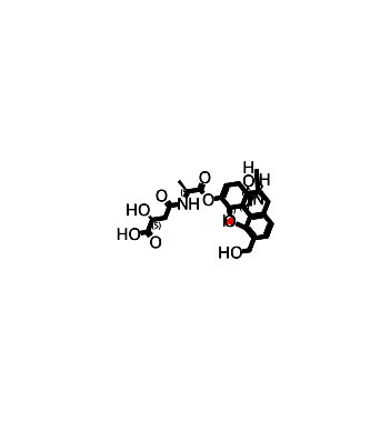 C[C@H](NC(=O)C[C@H](O)C(=O)O)C(=O)OC1=CC[C@@]2(O)[C@H]3Cc4ccc(CO)c5c4[C@@]2(CCN3C)[C@H]1O5